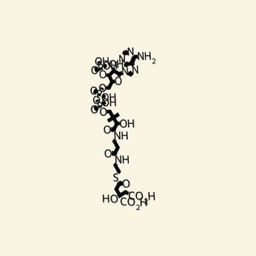 CC(C)(COP(=O)(O)OP(=O)(O)OCC1OC(n2cnc3c(N)ncnc32)C(O)C1OP(=O)(O)O)C(O)C(=O)NCCC(=O)NCCSC(=O)CC(O)(CC(=O)O)C(=O)O